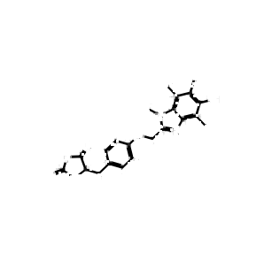 Cc1c(O)c(C)c2nc(COc3ccc(CC4SC(=O)NC4=O)cc3)n(C)c2c1C